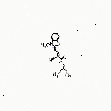 CCC(CC)COC(=O)/C(C#N)=C/C=C1\Oc2ccccc2N1C